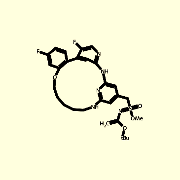 C=C(N=S(=O)(Cc1cc2nc(c1)Nc1cc(c(F)cn1)-c1ccc(F)cc1OCCCCCN2)OC)OC(C)(C)C